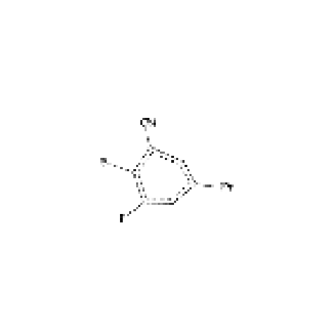 CC(C)c1cc(F)c(F)c(C#N)c1